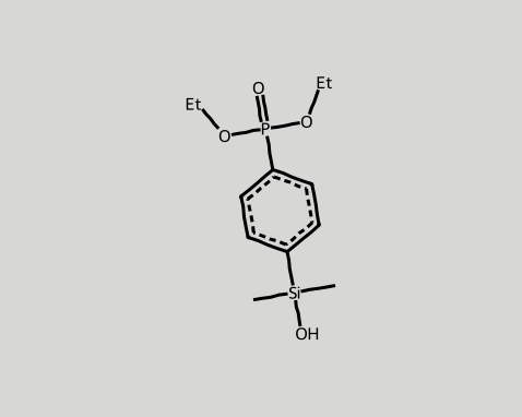 CCOP(=O)(OCC)c1ccc([Si](C)(C)O)cc1